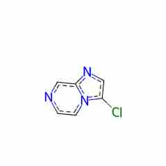 Clc1cnc2cnccn12